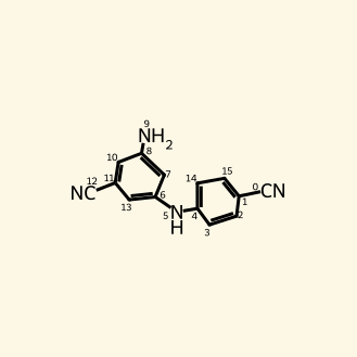 N#Cc1ccc(Nc2cc(N)cc(C#N)c2)cc1